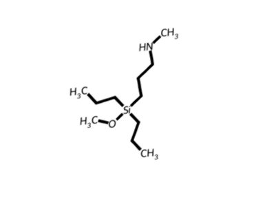 CCC[Si](CCC)(CCCNC)OC